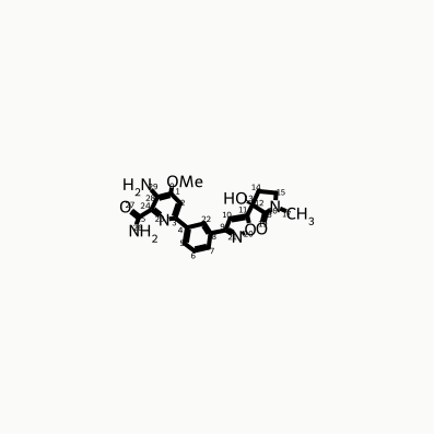 COc1cc(-c2cccc(-c3cc([C@]4(O)CCN(C)C4=O)on3)c2)nc(C(N)=O)c1N